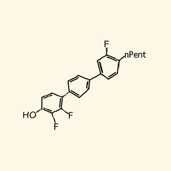 CCCCCc1ccc(-c2ccc(-c3ccc(O)c(F)c3F)cc2)cc1F